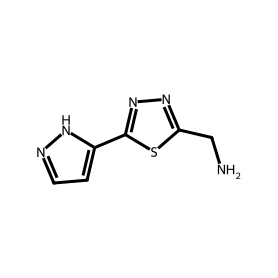 NCc1nnc(-c2ccn[nH]2)s1